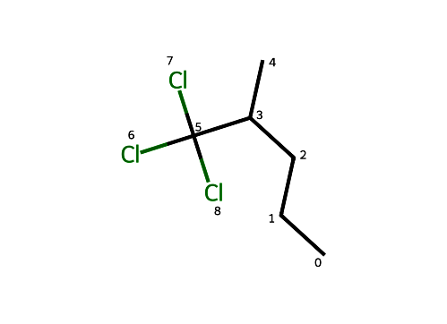 CCCC(C)C(Cl)(Cl)Cl